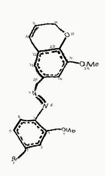 COc1cc(Br)ccc1/N=N/c1cc2c(c(OC)c1)OCC=C2